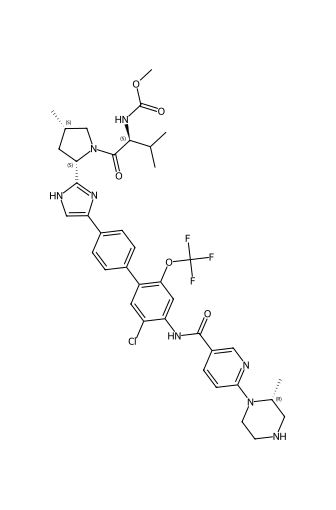 COC(=O)N[C@H](C(=O)N1C[C@@H](C)C[C@H]1c1nc(-c2ccc(-c3cc(Cl)c(NC(=O)c4ccc(N5CCNC[C@H]5C)nc4)cc3OC(F)(F)F)cc2)c[nH]1)C(C)C